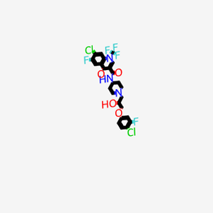 O=C(NC1CCN(CC(O)COc2ccc(Cl)c(F)c2)CC1)c1cn(C(F)(F)F)c2cc(Cl)c(F)cc2c1=O